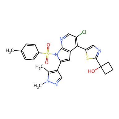 Cc1ccc(S(=O)(=O)n2c(-c3cnn(C)c3C)cc3c(-c4cnc(C5(O)CCC5)s4)c(Cl)cnc32)cc1